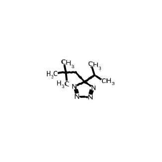 CC(C)C1(CC(C)(C)C)N=NN=N1